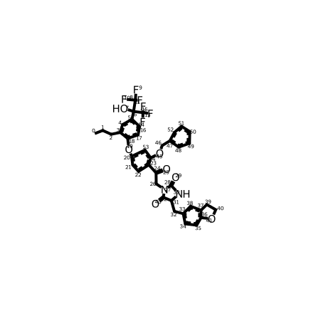 CCCc1cc(C(O)(C(F)(F)F)C(F)(F)F)ccc1Oc1ccc(C(=O)CN2C(=O)NC(Cc3ccc4c(c3)CCO4)C2=O)c(OCc2ccccc2)c1